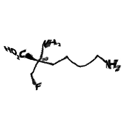 NCCCC[C@@](N)(CF)C(=O)O